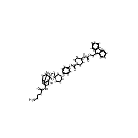 NCCCC(=O)NC12CC3C[C@H](C1)C1(OO[C@@]4(CCC[C@@H](c5ccc(OC(=O)N6CCC(NC(=O)OCC7c8ccccc8-c8ccccc87)CC6)cc5)C4)O1)[C@@H](C3)C2